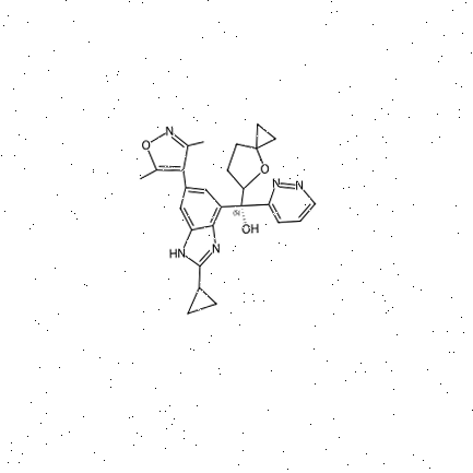 Cc1noc(C)c1-c1cc([C@](O)(c2cccnn2)C2CCC3(CC3)O2)c2nc(C3CC3)[nH]c2c1